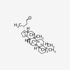 CC(CC=O)[C@H]1CC[C@]2(C)[C@H]3CC[C@@H]4[C@@]5(C)CCCC(C)(C)[C@@H]5CC[C@@]4(C)[C@]3(C)CC[C@@H]12